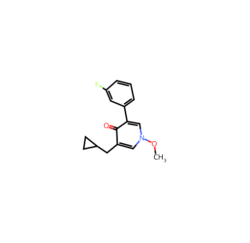 COn1cc(CC2CC2)c(=O)c(-c2cccc(F)c2)c1